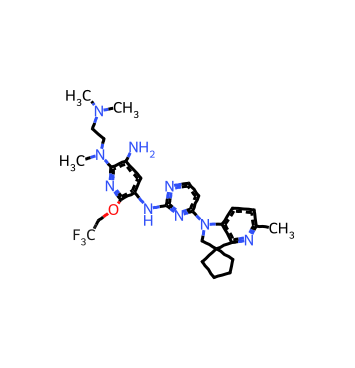 Cc1ccc2c(n1)C1(CCCC1)CN2c1ccnc(Nc2cc(N)c(N(C)CCN(C)C)nc2OCC(F)(F)F)n1